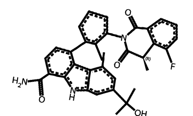 Cc1c(-c2ccc(C(N)=O)c3[nH]c4cc(C(C)(C)O)cc(C)c4c23)cccc1N1C(=O)c2cccc(F)c2[C@@H](C)C1=O